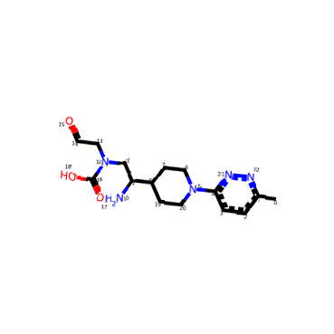 Cc1ccc(N2CCC(C(N)CN(CC=O)C(=O)O)CC2)nn1